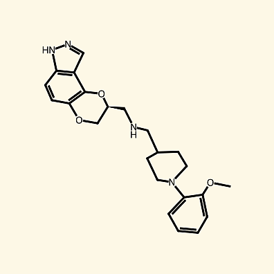 COc1ccccc1N1CCC(CNC[C@H]2COc3ccc4[nH]ncc4c3O2)CC1